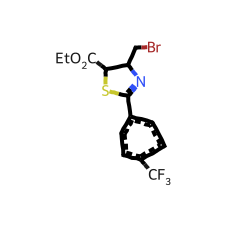 CCOC(=O)C1SC(c2ccc(C(F)(F)F)cc2)=NC1CBr